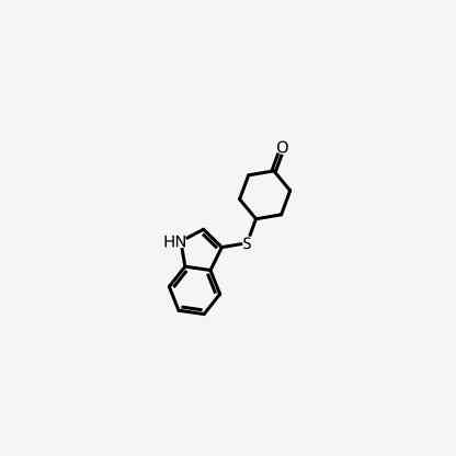 O=C1CCC(Sc2c[nH]c3ccccc23)CC1